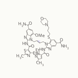 CCc1nc(C)sc1C(=O)Nc1nc2cc(C(N)=O)cc(OC)c2n1C/C=C/Cn1c(NC(=O)c2cc(C)nn2CC)nc2cc(C(N)=O)cc(SCCCN3CCOCC3)c21